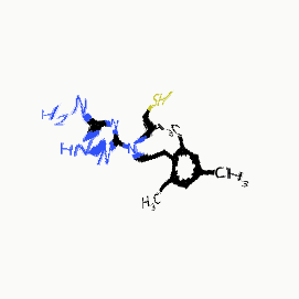 Cc1cc(C)c(CN(CCS)c2n[nH]c(N)n2)c(C)c1